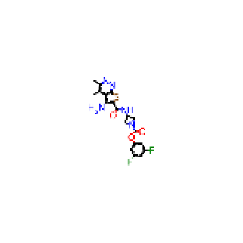 Cc1nnc2sc(C(=O)NC3CN(C(=O)Oc4cc(F)cc(F)c4)C3)c(N)c2c1C